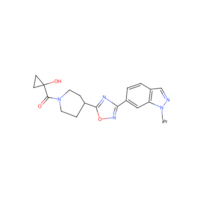 CC(C)n1ncc2ccc(-c3noc(C4CCN(C(=O)C5(O)CC5)CC4)n3)cc21